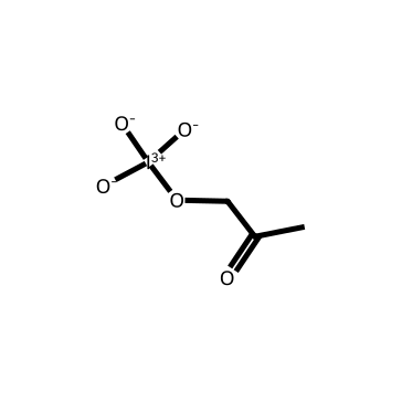 CC(=O)CO[I+3]([O-])([O-])[O-]